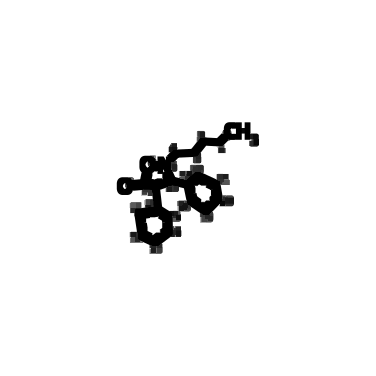 CCCCCn1oc(=O)c(-c2ccccc2)c1-c1ccccc1